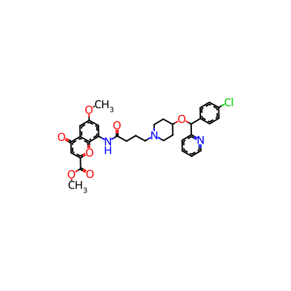 COC(=O)c1cc(=O)c2cc(OC)cc(NC(=O)CCCN3CCC(OC(c4ccc(Cl)cc4)c4ccccn4)CC3)c2o1